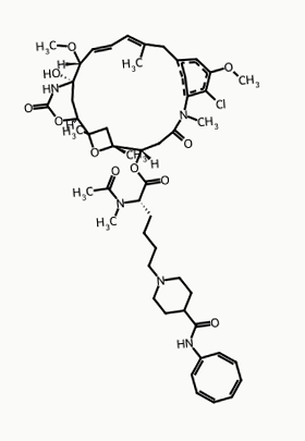 COc1cc2cc(c1Cl)N(C)C(=O)C[C@H](OC(=O)[C@H](CCCCN1CCC(C(=O)NC3=C/C=C\C=C/C=C\3)CC1)N(C)C(C)=O)[C@@]1(C)CC(C)(O1)[C@@H]1C[C@@](O)(NC(=O)O1)[C@H](OC)/C=C/C=C(\C)C2